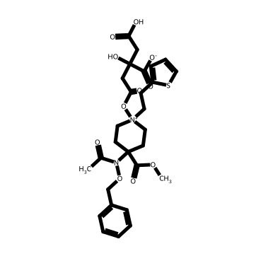 COC(=O)C1(N(OCc2ccccc2)C(C)=O)CC[N+](CCc2cccs2)(OC(=O)CC(O)(CC(=O)O)C(=O)[O-])CC1